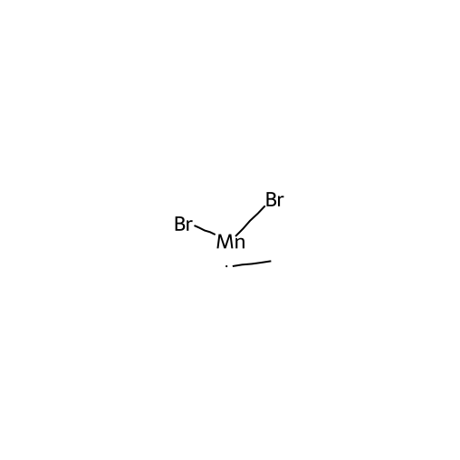 [Br][Mn][Br].[CH2]C